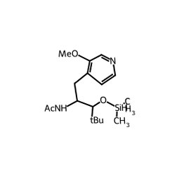 COc1cnccc1CC(NC(C)=O)C(O[SiH](C)C)C(C)(C)C